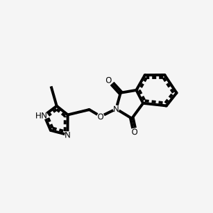 Cc1[nH]cnc1CON1C(=O)c2ccccc2C1=O